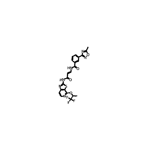 Cc1nc(-c2cccc(C(=O)NC=CC(=O)Nc3nc4ccnc(OC(C)C(F)(F)F)c4s3)c2)no1